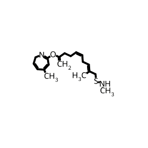 C=C(CC/C=C\C/C=C(\C)CSNC)OC1=NCC=CC(C)=C1